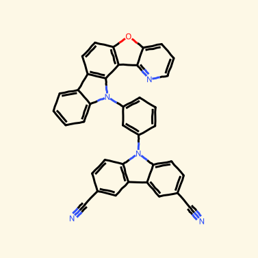 N#Cc1ccc2c(c1)c1cc(C#N)ccc1n2-c1cccc(-n2c3ccccc3c3ccc4oc5cccnc5c4c32)c1